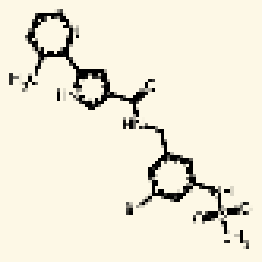 Cc1cccnc1-c1cc(C(=O)NCc2cc(Br)cc(NS(C)(=O)=O)c2)c[nH]1